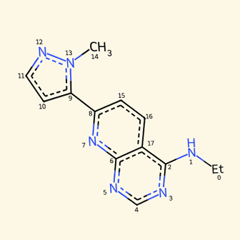 CCNc1ncnc2nc(-c3ccnn3C)ccc12